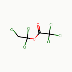 O=C(OC(Cl)(Cl)CCl)C(Cl)(Cl)Cl